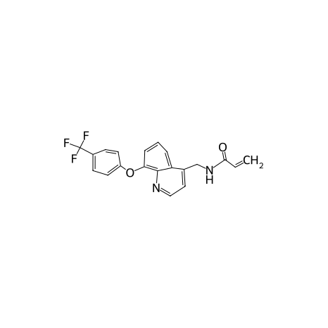 C=CC(=O)NCc1ccnc2c(Oc3ccc(C(F)(F)F)cc3)cccc12